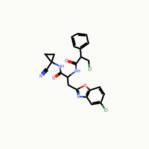 N#CC1(NC(=O)C(Cc2nc3cc(Cl)ccc3o2)NC(=O)C(CCl)c2ccccc2)CC1